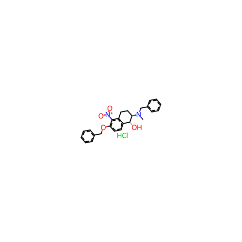 CN(Cc1ccccc1)[C@@H]1CCc2c(ccc(OCc3ccccc3)c2[N+](=O)[O-])[C@H]1O.Cl